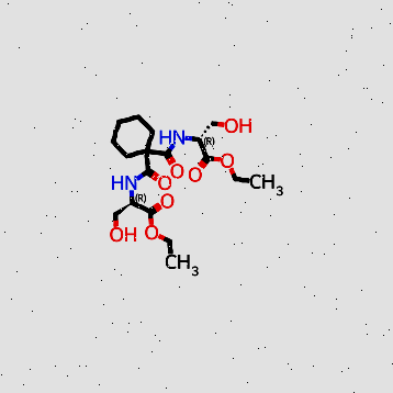 CCOC(=O)[C@@H](CO)NC(=O)C1(C(=O)N[C@H](CO)C(=O)OCC)CCCCC1